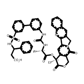 CC[C@@]1(OC(=O)[C@@H](NC(=O)Nc2cccc(-c3cccc(S(=O)(=O)NC(CC(=O)O)c4ccccc4)c3)c2)C(C)C)C(=O)OCc2c1cc1n(c2=O)Cc2cc3ccccc3nc2-1